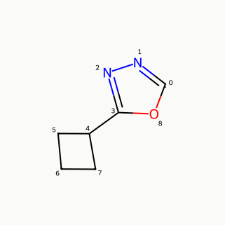 [c]1nnc(C2CCC2)o1